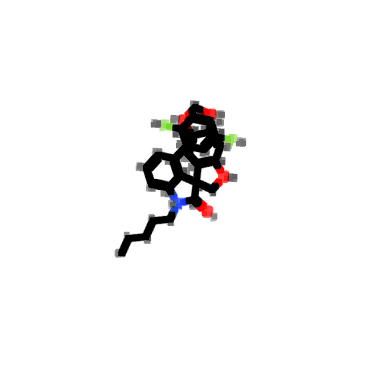 CCCCCN1C(=O)C2(COc3cc4c(cc32)OCO4)c2c(-c3cc(F)ccc3F)cccc21